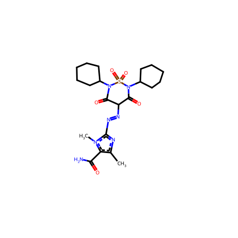 Cc1nc(N=NC2C(=O)N(C3CCCCC3)S(=O)(=O)N(C3CCCCC3)C2=O)n(C)c1C(N)=O